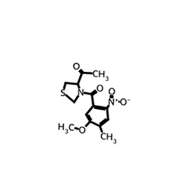 COc1cc(C(=O)N2CSCC2C(C)=O)c([N+](=O)[O-])cc1C